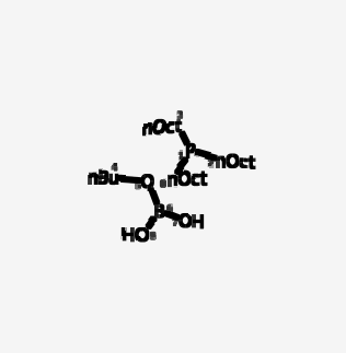 CCCCCCCCP(CCCCCCCC)CCCCCCCC.CCCCOB(O)O